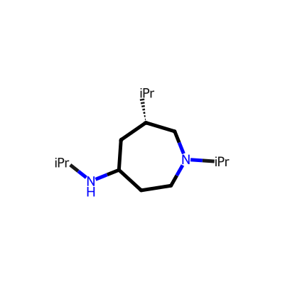 CC(C)NC1CCN(C(C)C)C[C@@H](C(C)C)C1